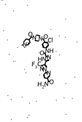 C[N+]1(C)CCC(C(=O)N2CCN(C(=O)c3ccc(NC(=O)c4ncc(-c5cn(-c6ccc(C(N)=O)cn6)nc5C(F)(F)F)[nH]4)cc3Cl)CC2)CC1